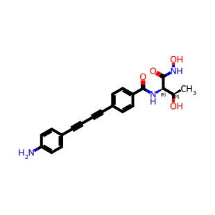 C[C@@H](O)[C@@H](NC(=O)c1ccc(C#CC#Cc2ccc(N)cc2)cc1)C(=O)NO